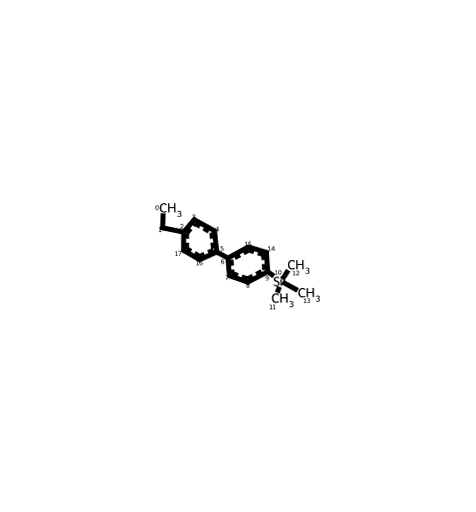 CCc1ccc(-c2ccc([Si](C)(C)C)cc2)cc1